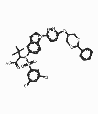 CC(C)(C)C(C(=O)O)N(c1ccc2c(ccn2-c2ccc(OC3COC(c4ccccc4)OC3)nn2)c1)S(=O)(=O)c1cc(Cl)cc(Cl)c1